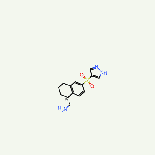 NC[C@@H]1CCCc2cc(S(=O)(=O)c3cn[nH]c3)ccc21